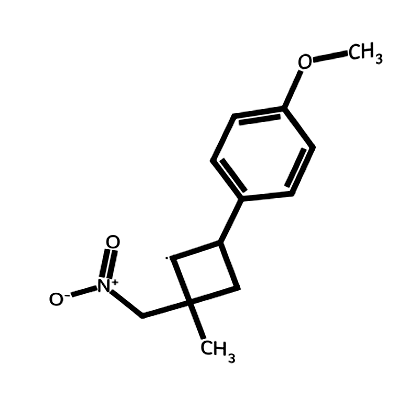 COc1ccc(C2[CH]C(C)(C[N+](=O)[O-])C2)cc1